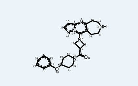 O=C(C1CN(c2c3c(nc4ccnn24)CCNCC3)C1)N1CCC(Oc2ccccc2)CC1